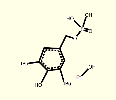 CC(C)(C)c1cc(COP(=O)(O)O)cc(C(C)(C)C)c1O.CCO